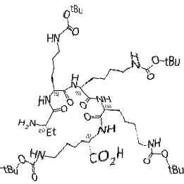 CC[C@H](N)C(=O)N[C@@H](CCCCNC(=O)OC(C)(C)C)C(=O)N[C@@H](CCCCNC(=O)OC(C)(C)C)C(=O)N[C@@H](CCCCNC(=O)OC(C)(C)C)C(=O)N[C@@H](CCCCNC(=O)OC(C)(C)C)C(=O)O